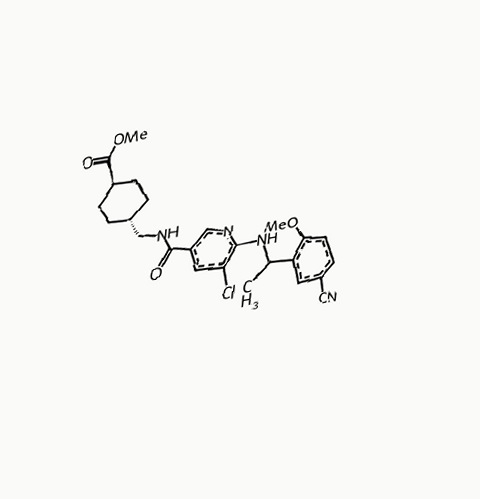 COc1ccc(C#N)cc1C(C)Nc1ncc(C(=O)NC[C@H]2CC[C@H](C(=O)OC)CC2)cc1Cl